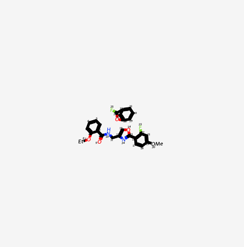 CCOc1ccccc1C(=O)NCc1coc(-c2ccc(OC)cc2F)n1.FC1Oc2cccc1c2